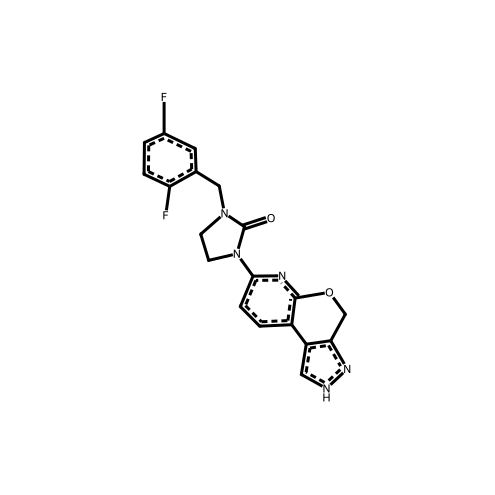 O=C1N(Cc2cc(F)ccc2F)CCN1c1ccc2c(n1)OCc1n[nH]cc1-2